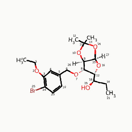 CCOc1cc(CO[C@@H]2[C@H]3OC(C)(C)O[C@H]3O[C@@H]2[C@H](O)CC)ccc1Br